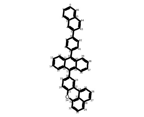 c1ccc2cc(-c3ccc(-c4c5ccccc5c(-c5ccc6c(c5)-c5cccc7cccc(c57)O6)c5ccccc45)cc3)ccc2c1